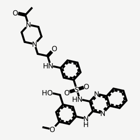 COc1cc(CO)cc(Nc2nc3ccccc3nc2NS(=O)(=O)c2cccc(NC(=O)CN3CCN(C(C)=O)CC3)c2)c1